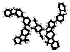 CC1(C)c2c#cccc2-c2cc3c4cc(-c5ccc6c(c5)C5C=CC=CC5S6)ccc4n(-c4cc(C#N)c(-n5c6ccc(-c7ccc8sc9ccccc9c8c7)cc6c6cc7c(cc65)C(C)(C)c5ccccc5-7)cc4C#N)c3cc21